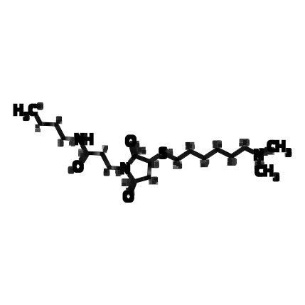 CCCCNC(=O)CCN1C(=O)CC(SCCCCCCN(C)C)C1=O